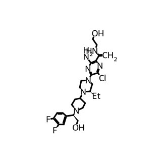 C=C(NCCO)c1nc(Cl)c(N2CCN(C3CCN([C@@H](CO)c4ccc(F)c(F)c4)CC3)[C@@H](CC)C2)nc1N